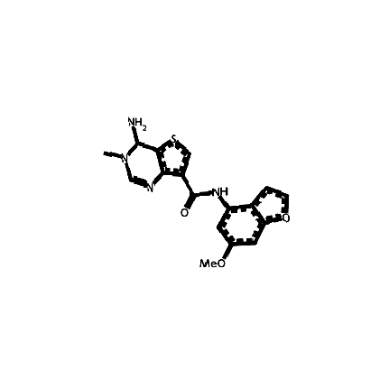 COc1cc(NC(=O)c2csc3c2N=CN(C)C3N)c2ccoc2c1